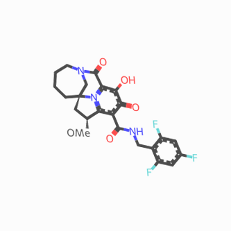 CO[C@H]1C[C@@]23CCCCN(C2)C(=O)c2c(O)c(=O)c(C(=O)NCc4c(F)cc(F)cc4F)c1n23